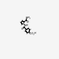 NC(=O)c1cccn1NC(=O)c1ccc(C(=O)O)cc1